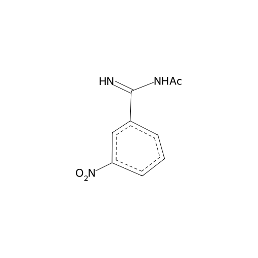 CC(=O)NC(=N)c1cccc([N+](=O)[O-])c1